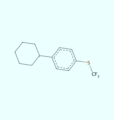 FC(F)(F)Sc1ccc([C]2CCCCC2)cc1